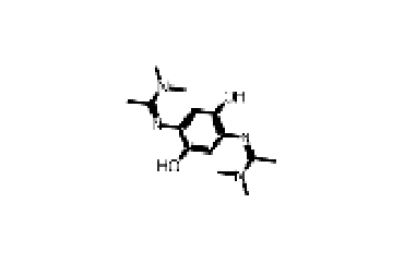 CC(=Nc1cc(O)c(N=C(C)N(C)C)cc1O)N(C)C